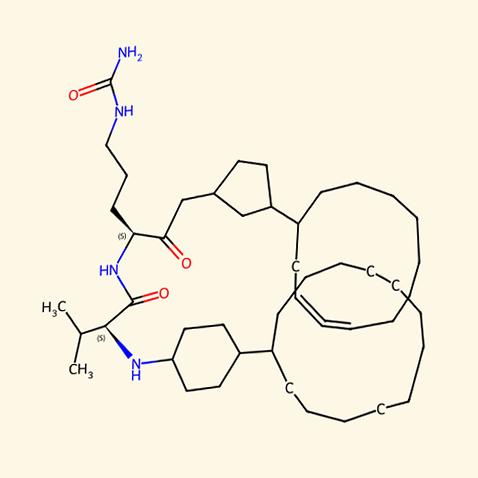 CC(C)[C@H](NC1CCC(C2CCCCCCCCCCCC2)CC1)C(=O)N[C@@H](CCCNC(N)=O)C(=O)CC1CCC(C2CC=C=CCCCCCCC2)C1